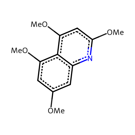 COc1cc(OC)c2c(OC)cc(OC)nc2c1